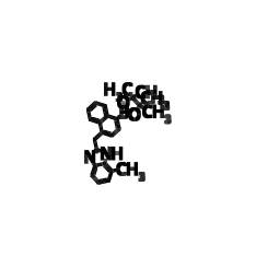 Cc1cccc2nc(Cc3ccc(B4OC(C)(C)C(C)(C)O4)c4ccccc34)[nH]c12